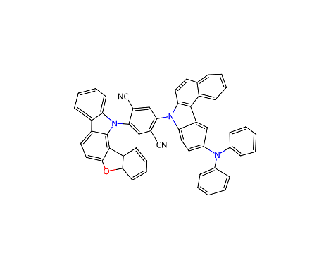 N#Cc1cc(-n2c3ccccc3c3ccc4c(c32)C2C=CC=CC2O4)c(C#N)cc1-n1c2ccc(N(c3ccccc3)c3ccccc3)cc2c2c3ccccc3ccc21